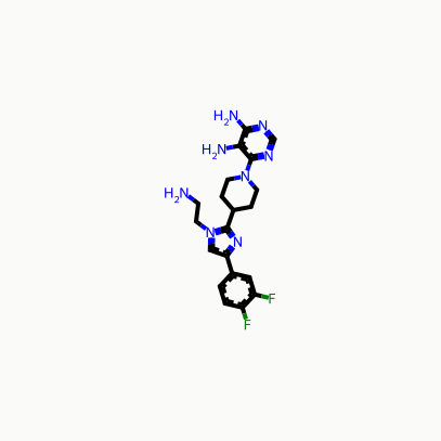 NCCn1cc(-c2ccc(F)c(F)c2)nc1C1CCN(c2ncnc(N)c2N)CC1